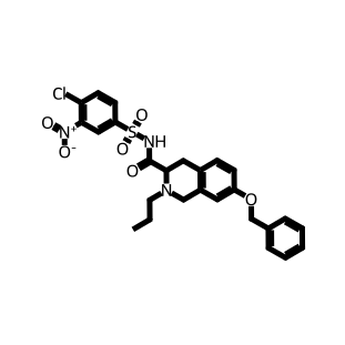 CCCN1Cc2cc(OCc3ccccc3)ccc2CC1C(=O)NS(=O)(=O)c1ccc(Cl)c([N+](=O)[O-])c1